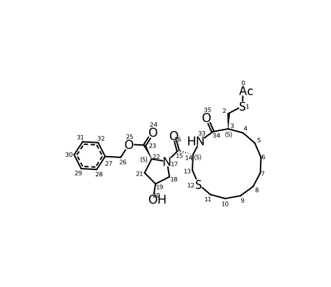 CC(=O)SC[C@H]1CCCCCCCCSC[C@H](C(=O)N2CC(O)C[C@H]2C(=O)OCc2ccccc2)NC1=O